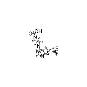 O=C(O)N1CC2(C1)CN(c1ncnc3sc(CC(F)(F)F)cc13)C2